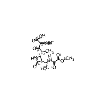 COC(=O)C(=O)N[C@H](C)[C@H]1C(=O)N[C@@H]1C(C)C(=O)C(=[N+]=[N-])C(=O)O